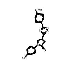 COc1ccc(-c2noc(C3CC(=O)N(c4ccc(Cl)cc4)C3)n2)cc1